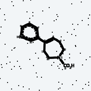 O=C(O)N1CCC=C(c2cccnc2)CC1